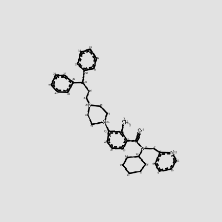 Cc1c(C(=O)N(Cc2ccccn2)C2CCCCC2)cccc1N1CCN(CCC(c2ccccc2)c2ccccc2)CC1